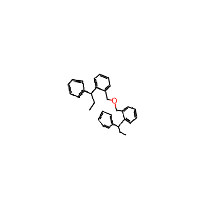 CCC(c1ccccc1)c1ccccc1COCc1ccccc1C(CC)c1ccccc1